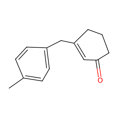 Cc1ccc(CC2=CC(=O)CCC2)cc1